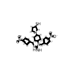 N=C(NCc1ccc([N+](=O)[O-])cc1)N(Cc1ccc([N+](=O)[O-])cc1)C1CCC(N2CC[C@@H](S)C2)CC1